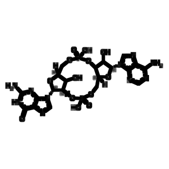 Nc1nc2c(ncn2[C@@H]2O[C@@H]3COP(=O)(O)OC4C(O)[C@H](n5cnc6c(N)ncnc65)O[C@@H]4COP(=O)(O)O[C@H]2C3O)c(=O)[nH]1